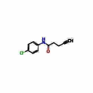 C#CCCC(=O)Nc1ccc(Cl)cc1